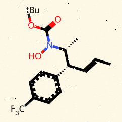 C/C=C/[C@H](c1ccc(C(F)(F)F)cc1)[C@@H](C)N(O)C(=O)OC(C)(C)C